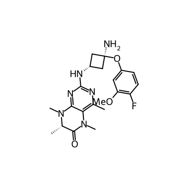 COc1cc(O[C@]2(N)C[C@@H](Nc3nc(C)c4c(n3)N(C)[C@@H](C)C(=O)N4C)C2)ccc1F